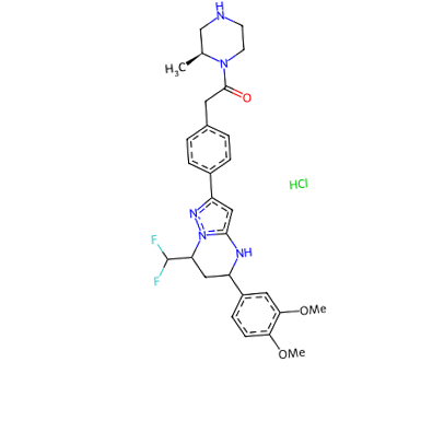 COc1ccc(C2CC(C(F)F)n3nc(-c4ccc(CC(=O)N5CCNC[C@@H]5C)cc4)cc3N2)cc1OC.Cl